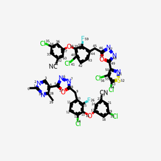 Cc1ncc(-c2nnc(Cc3ccc(Cl)c(Oc4cc(Cl)cc(C#N)c4)c3F)o2)c(C)n1.N#Cc1cc(Cl)cc(Oc2c(Cl)ccc(Cc3nnc(-c4nsc(Cl)c4Cl)o3)c2F)c1